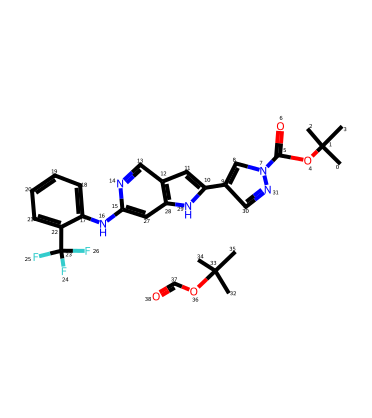 CC(C)(C)OC(=O)n1cc(-c2cc3cnc(Nc4ccccc4C(F)(F)F)cc3[nH]2)cn1.CC(C)(C)OC=O